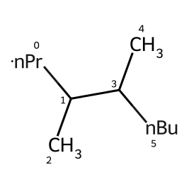 CC[CH]C(C)C(C)CCCC